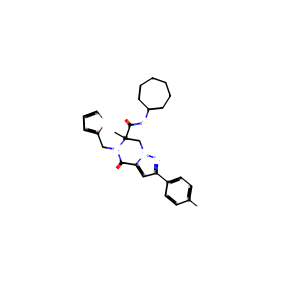 CCc1ccc(-c2cc3n(n2)CC(C)(C(=O)NC2CCCCCC2)N(Cc2cccs2)C3=O)cc1